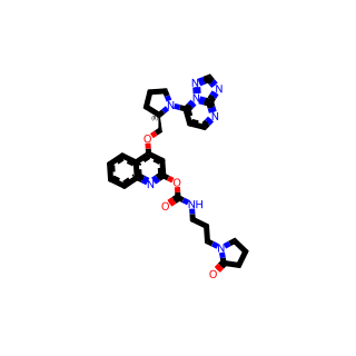 O=C(NCCCN1CCCC1=O)Oc1cc(OC[C@H]2CCCN2c2ccnc3ncnn23)c2ccccc2n1